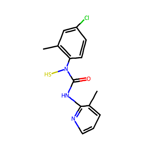 Cc1cc(Cl)ccc1N(S)C(=O)Nc1ncccc1C